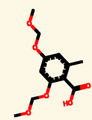 COCOc1cc(C)c(C(=O)O)c(OCOC)c1